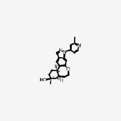 CC[C@@]12CC[C@@](C)(O)C[C@@H]1CCOc1cc3c(cnn3-c3ccnc(C)c3)cc12